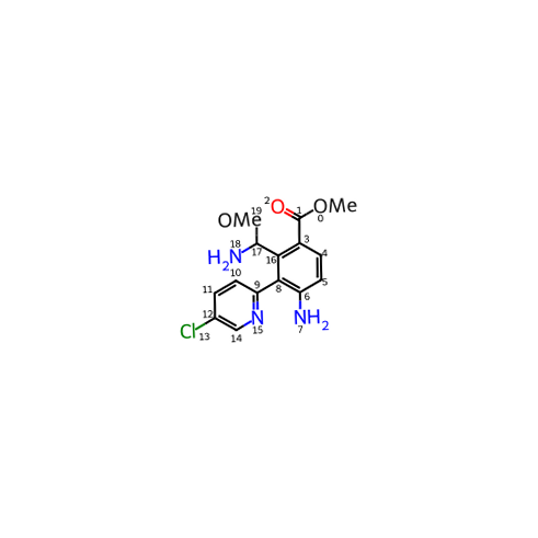 COC(=O)c1ccc(N)c(-c2ccc(Cl)cn2)c1C(N)OC